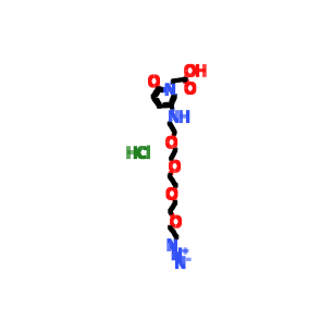 Cl.[N-]=[N+]=NCCOCCOCCOCCOCCNc1ccc(=O)n(CC(=O)O)c1